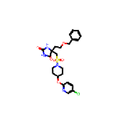 O=C1NC(=O)C(CCOCc2ccccc2)(CS(=O)(=O)N2CCC(Oc3ccc(Cl)cn3)CC2)N1